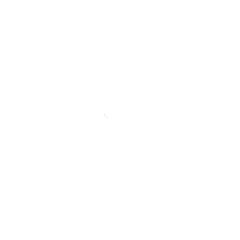 O=Cc1c(-c2ccccc2)n(Cl)c2ccccc2c1=O